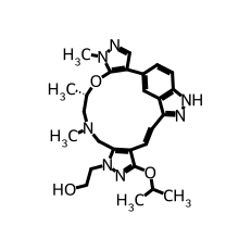 CC(C)Oc1nn(CCO)c2c1/C=C/c1n[nH]c3ccc(cc13)-c1cnn(C)c1O[C@@H](C)CN(C)C2